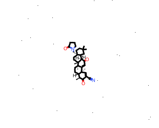 C[C@@H]1C(=O)C(C#N)=C[C@]2(C)C3=CC(=O)[C@@H]4[C@@H]5CC(C)(C)CC[C@]5(CN5CCCC5=O)CC[C@@]4(C)[C@]3(C)CC[C@@H]12